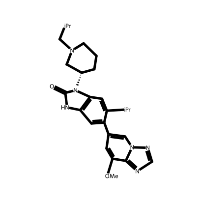 COc1cc(-c2cc3[nH]c(=O)n([C@H]4CCCN(CC(C)C)C4)c3cc2C(C)C)cn2ncnc12